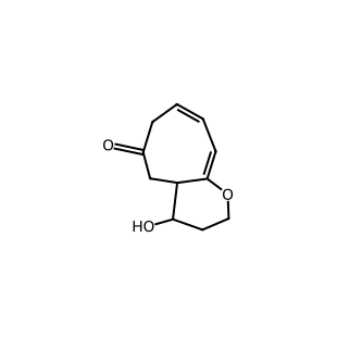 O=C1CC=CC=C2OCCC(O)C2C1